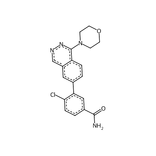 NC(=O)c1ccc(Cl)c(-c2ccc3c(N4CCOCC4)nncc3c2)c1